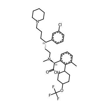 Cc1cccc([C@@H](C(=O)O)N(C)CC[C@H](CCCN2CCCCC2)c2cccc(Cl)c2)c1C1CCC(OC(F)(F)F)CC1